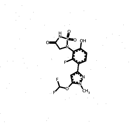 Cn1nc(-c2ccc(O)c(N3CC(=O)NS3(=O)=O)c2F)cc1OC(F)F